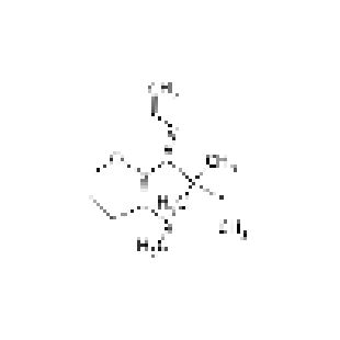 C=C/C=C(\C1=C(C=C)CCCO1)C(C)(C)CC